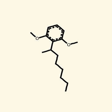 CCCCCCC(C)c1c(OC)cccc1OC